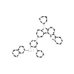 c1ccc(-c2cc(-c3ccc4c(c3)c3c5sc6ccccc6c5ccc3n4-c3ccccc3)ccc2Nc2ccc3ccccc3c2)cc1